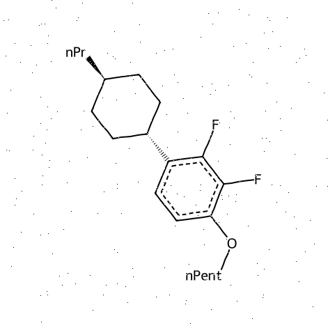 CCCCCOc1ccc([C@H]2CC[C@H](CCC)CC2)c(F)c1F